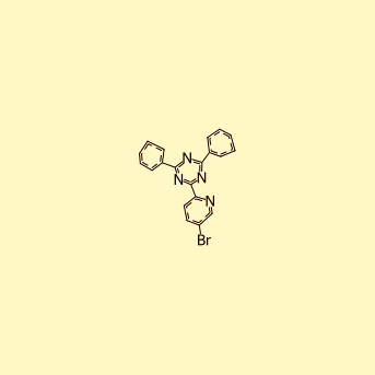 Brc1ccc(-c2nc(-c3ccccc3)nc(-c3ccccc3)n2)nc1